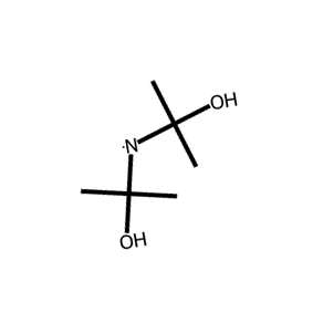 CC(C)(O)[N]C(C)(C)O